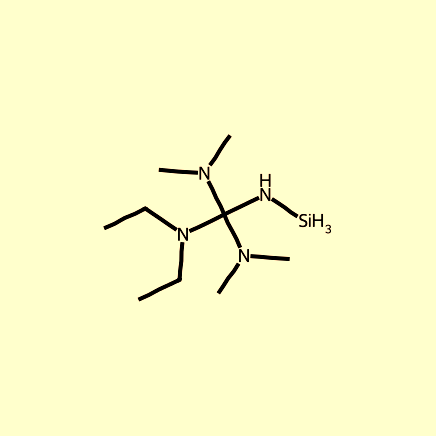 CCN(CC)C(N[SiH3])(N(C)C)N(C)C